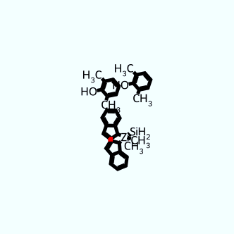 Cc1cccc(C)c1O.Cc1cccc(C)c1O.[CH3][Zr]([CH3])(=[SiH2])([CH]1C=Cc2ccccc21)[CH]1C=Cc2ccccc21